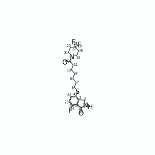 [2H]N1Cc2c(SCCCCCCC(=O)N3CCC(F)(F)CC3)ccc(F)c2C1=O